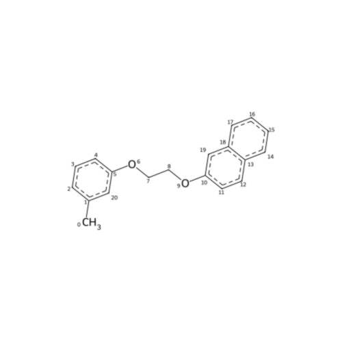 Cc1cccc(OCCOc2ccc3ccccc3c2)c1